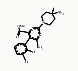 COC(=O)c1nc(N2CCC(C)(N)CC2)nc(N)c1-c1cccc(Cl)c1Cl